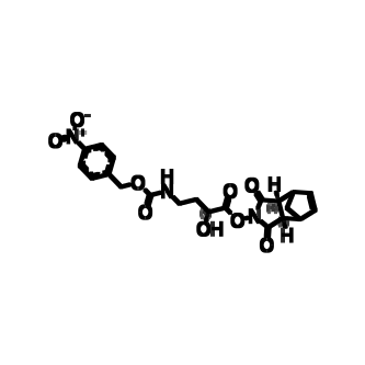 O=C(NCC[C@H](O)C(=O)ON1C(=O)[C@@H]2C3C=CC(C3)[C@@H]2C1=O)OCc1ccc([N+](=O)[O-])cc1